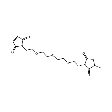 CC1CC(=O)N(CCOCCOCCOCCN2C(=O)C=CC2=O)C1=O